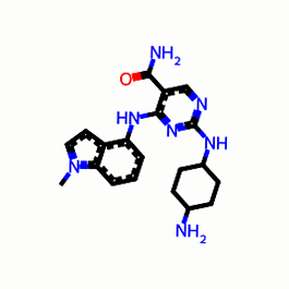 Cn1ccc2c(Nc3nc(NC4CCC(N)CC4)ncc3C(N)=O)cccc21